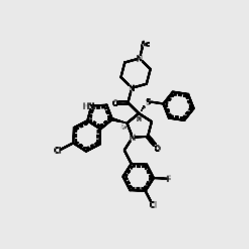 CC(=O)N1CCN(C(=O)[C@@]2(Sc3ccccc3)CC(=O)N(Cc3ccc(Cl)c(F)c3)[C@H]2c2c[nH]c3cc(Cl)ccc23)CC1